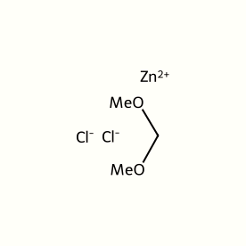 COCOC.[Cl-].[Cl-].[Zn+2]